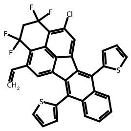 C=Cc1cc2c3c(cc(Cl)c4c3c1C(F)(F)CC4(F)F)-c1c-2c(-c2cccs2)c2ccccc2c1-c1cccs1